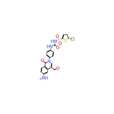 CNc1ccc2c(=O)n(-c3ccc(NC(=O)NS(=O)(=O)C4=CCC(Cl)S4)cc3)cc(C=O)c2c1